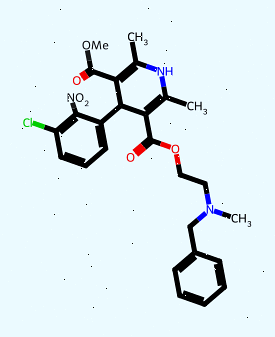 COC(=O)C1=C(C)NC(C)=C(C(=O)OCCN(C)Cc2ccccc2)C1c1cccc(Cl)c1[N+](=O)[O-]